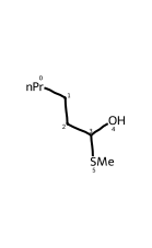 CCCCCC(O)SC